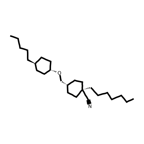 CCCCCCC[C@]1(C#N)CC[C@H](CO[C@H]2CC[C@H](CCCCC)CC2)CC1